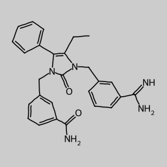 CCc1c(-c2ccccc2)n(Cc2cccc(C(N)=O)c2)c(=O)n1Cc1cccc(C(=N)N)c1